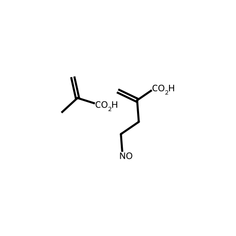 C=C(C)C(=O)O.C=C(CCN=O)C(=O)O